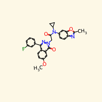 COc1ccc2c(-c3cccc(F)c3)nn(CC(=O)N(c3ccc4nc(C)oc4c3)C3CC3)c(=O)c2c1